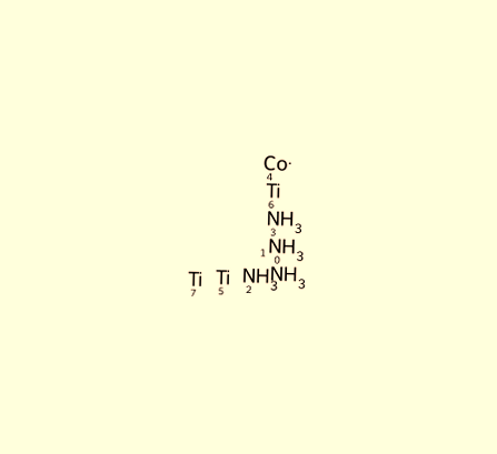 N.N.N.N.[Co].[Ti].[Ti].[Ti]